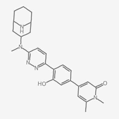 Cc1cc(-c2ccc(-c3ccc(N(C)C4CC5CCCC(C4)N5)nn3)c(O)c2)cc(=O)n1C